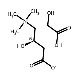 C[N+](C)(C)C[C@H](O)CC(=O)[O-].O=C(O)CO